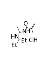 C=C(C)C(=O)NC(C)NC(CC)CC.Cl